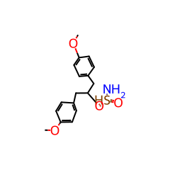 COc1ccc(CC(C)Cc2ccc(OC)cc2)cc1.N[SH](=O)=O